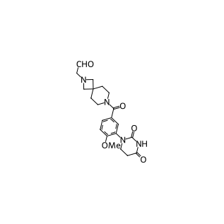 COc1ccc(C(=O)N2CCC3(CC2)CN(CC=O)C3)cc1N1CCC(=O)NC1=O